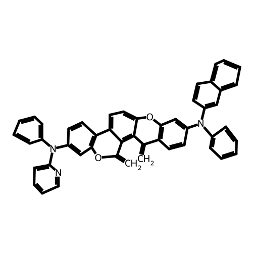 C=C1c2ccc(N(c3ccccc3)c3ccc4ccccc4c3)cc2Oc2ccc3c(c21)C(=C)Oc1cc(N(c2ccccc2)c2ccccn2)ccc1-3